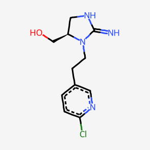 N=C1NC[C@H](CO)N1CCc1ccc(Cl)nc1